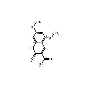 COc1cc(OC)c2cc(C(=O)O)c(=O)oc2c1